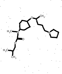 CC(C)COC(=O)N(C)C1CCC(OC(C)CCCN2CCCC2)CC1